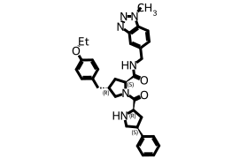 CCOc1ccc(C[C@@H]2C[C@@H](C(=O)NCc3ccc4c(c3)nnn4C)N(C(=O)[C@H]3C[C@@H](c4ccccc4)CN3)C2)cc1